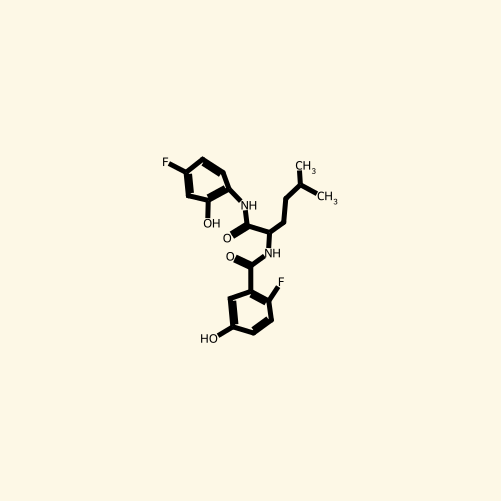 CC(C)CCC(NC(=O)c1cc(O)ccc1F)C(=O)Nc1ccc(F)cc1O